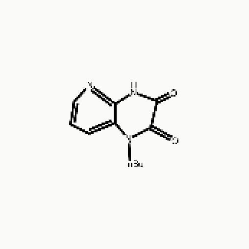 CCCCn1c(=O)c(=O)[nH]c2ncccc21